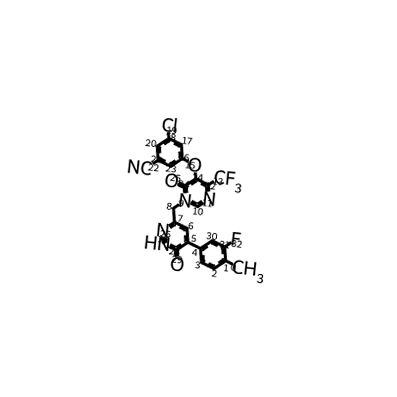 Cc1ccc(-c2cc(Cn3cnc(C(F)(F)F)c(Oc4cc(Cl)cc(C#N)c4)c3=O)n[nH]c2=O)cc1F